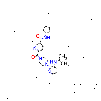 CC(C)Nc1cccnc1N1CCN(C(=O)c2ccc(C(=O)NC3CCCC3)cn2)CC1